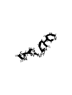 c1cncc(-c2ccc(Nc3nc(-c4nccs4)cs3)nc2)c1